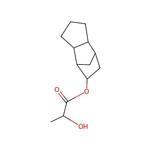 CC(O)C(=O)OC1CC2CC1C1CCCC21